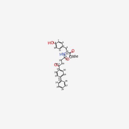 COC(=O)[C@H](Cc1ccc(O)cc1)NC(=O)CCC(=O)c1ccc(-c2ccccc2)cc1